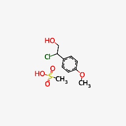 COc1ccc(C(Cl)CO)cc1.CS(=O)(=O)O